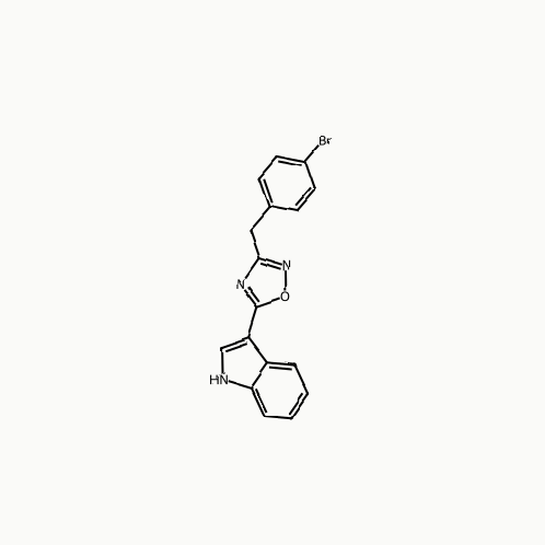 Brc1ccc(Cc2noc(-c3c[nH]c4ccccc34)n2)cc1